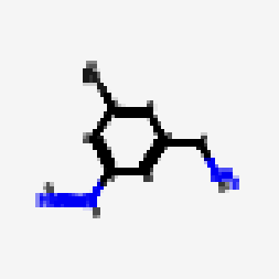 CCc1cc(CN)cc(N=N)c1